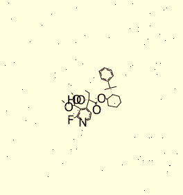 CC[C@@](O)(C(=O)O[C@@H]1CCCC[C@H]1C(C)(C)c1ccccc1)c1ccnc(F)c1C(OC)OC